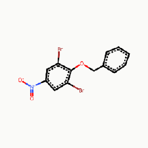 O=[N+]([O-])c1cc(Br)c(OCc2ccccc2)c(Br)c1